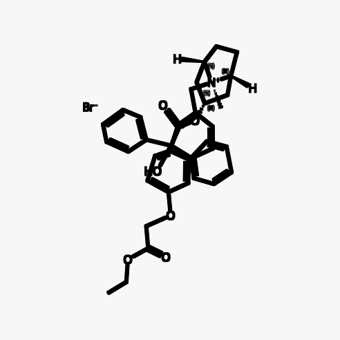 CCOC(=O)COc1ccc2cc(C[N@+]3(C)[C@@H]4CC[C@H]3C[C@@H](OC(=O)C(O)(c3ccccc3)c3ccccc3)C4)ccc2c1.[Br-]